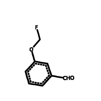 O=Cc1cccc(OCF)c1